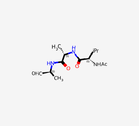 CC(=O)N[C@H](C(=O)N[C@@H](C)C(=O)N[C@@H](C)C=O)C(C)C